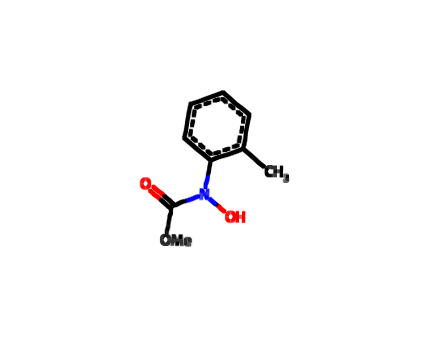 COC(=O)N(O)c1ccccc1C